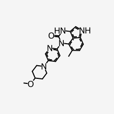 COC1CCN(c2ccc(N3C(=O)Nc4c[nH]c5ccc(C)c3c45)nc2)CC1